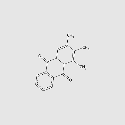 CC1=CC2C(=O)c3ccccc3C(=O)C2C(C)=C1C